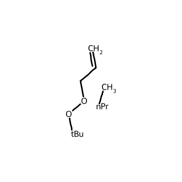 C=CCOOC(C)(C)C.CCCC